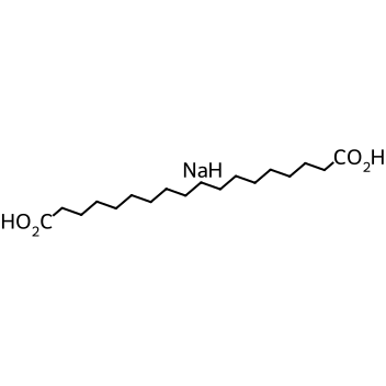 O=C(O)CCCCCCCCCCCCCCCCC(=O)O.[NaH]